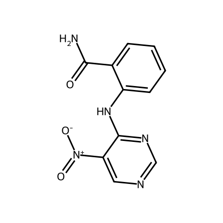 NC(=O)c1ccccc1Nc1ncncc1[N+](=O)[O-]